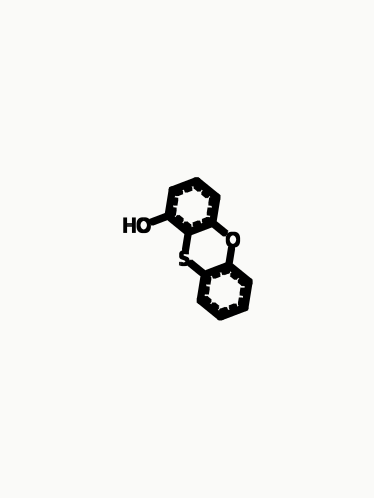 Oc1cccc2c1Sc1ccccc1O2